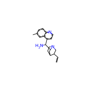 C=CC1CN2CCC1CC2C(N)c1ccnc2ccc(C)cc12